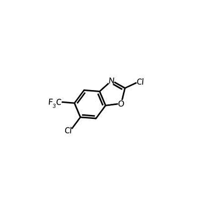 FC(F)(F)c1cc2nc(Cl)oc2cc1Cl